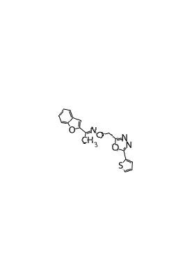 CC(=NOCc1nnc(-c2cccs2)o1)c1cc2ccccc2o1